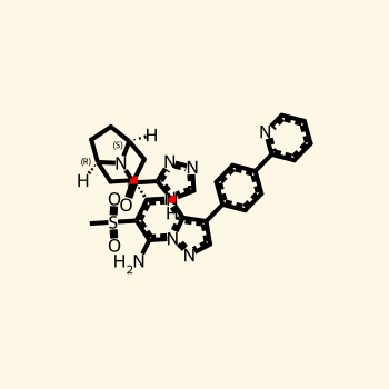 CS(=O)(=O)c1c([C@@H]2C[C@H]3CC[C@@H](C2)N3C(=O)c2nnc[nH]2)nc2c(-c3ccc(-c4ccccn4)cc3)cnn2c1N